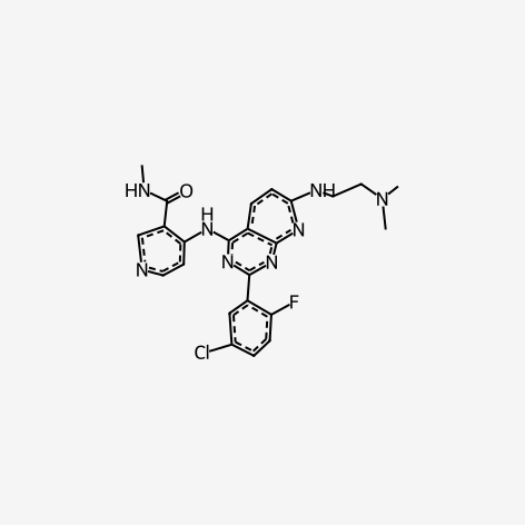 CNC(=O)c1cnccc1Nc1nc(-c2cc(Cl)ccc2F)nc2nc(NCCN(C)C)ccc12